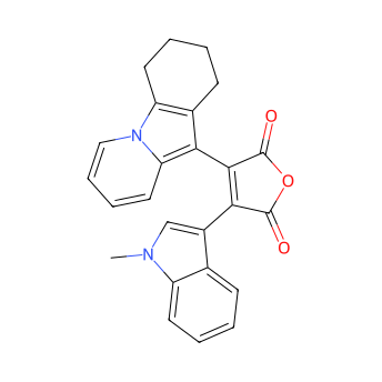 Cn1cc(C2=C(c3c4c(n5ccccc35)CCCC4)C(=O)OC2=O)c2ccccc21